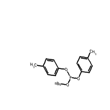 CCCCOP(Oc1ccc(C)cc1)Oc1ccc(C)cc1